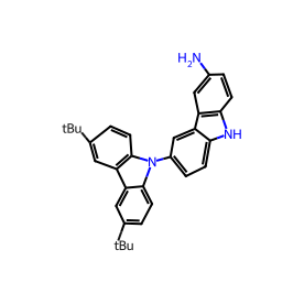 CC(C)(C)c1ccc2c(c1)c1cc(C(C)(C)C)ccc1n2-c1ccc2[nH]c3ccc(N)cc3c2c1